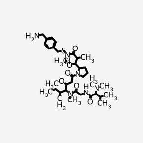 CCC(C)C(C(CC(=O)N1CCCC1C(OC)C(C)C(=O)NSCc1ccc(CN)cc1)OC)N(C)C(=O)CNC(=O)C(C(C)C)N(C)C